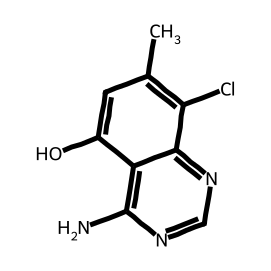 Cc1cc(O)c2c(N)ncnc2c1Cl